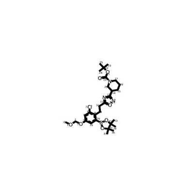 COCOc1cc(Cl)c(CCc2nc(C3CCCN(C(=O)OC(C)(C)C)C3)no2)c(B2OC(C)(C)C(C)(C)O2)c1